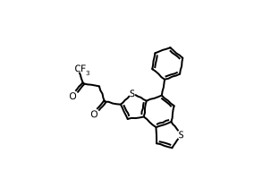 O=C(CC(=O)C(F)(F)F)c1cc2c(s1)c(-c1ccccc1)cc1sccc12